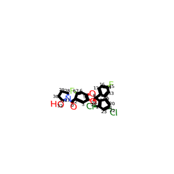 O=C(c1cc2c(cc1F)OC(c1ccc(F)cc1)(c1ccc(Cl)cc1Cl)O2)N1CCCC1O